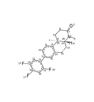 CN1C(=O)CC[C@]2(C)c3ccc(-c4cc(F)c(F)cc4F)cc3CC[C@@H]12